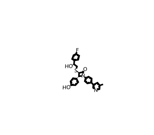 Cc1cncc(-c2ccc(N3C(=O)[C@H](SC[C@H](O)c4ccc(F)cc4)[C@H]3c3ccc(O)cc3)cc2)c1